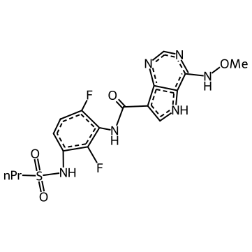 CCCS(=O)(=O)Nc1ccc(F)c(NC(=O)c2c[nH]c3c(NOC)ncnc23)c1F